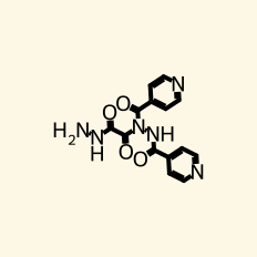 NNC(=O)C(=O)N(NC(=O)c1ccncc1)C(=O)c1ccncc1